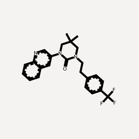 CC1(C)CN(CCc2ccc(C(F)(F)F)cc2)C(=O)N(c2cnc3ccccc3c2)C1